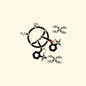 CCCC[N+](CCCC)(CCCC)CCCC.CCCC[N+](CCCC)(CCCC)CCCC.CN1CCN(C)CCN2CCN(C)CCN(Cc3ccccc3[B-](F)(F)F)CCN(CC1)CCN(C)CCN(Cc1ccccc1[B-](F)(F)F)CC2